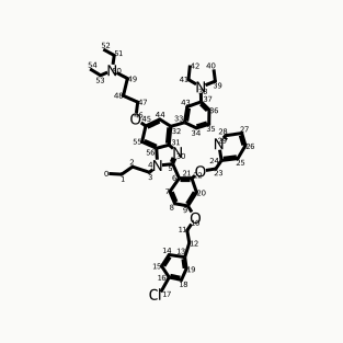 CCCCn1c(-c2ccc(OCCc3ccc(Cl)cc3)cc2OCc2ccccn2)nc2c(-c3cccc(N(CC)CC)c3)cc(OCCCN(CC)CC)cc21